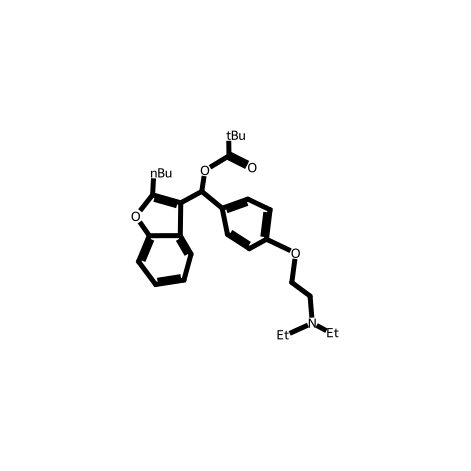 CCCCc1oc2ccccc2c1C(OC(=O)C(C)(C)C)c1ccc(OCCN(CC)CC)cc1